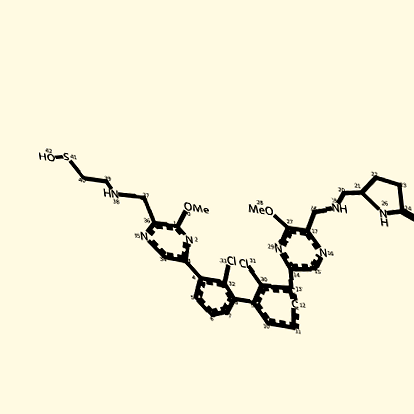 COc1nc(-c2cccc(-c3cccc(-c4cnc(CNCC5CCC(=O)N5)c(OC)n4)c3Cl)c2Cl)cnc1CNCCSO